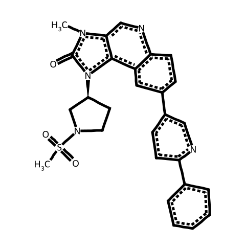 Cn1c(=O)n([C@H]2CCN(S(C)(=O)=O)C2)c2c3cc(-c4ccc(-c5ccccc5)nc4)ccc3ncc21